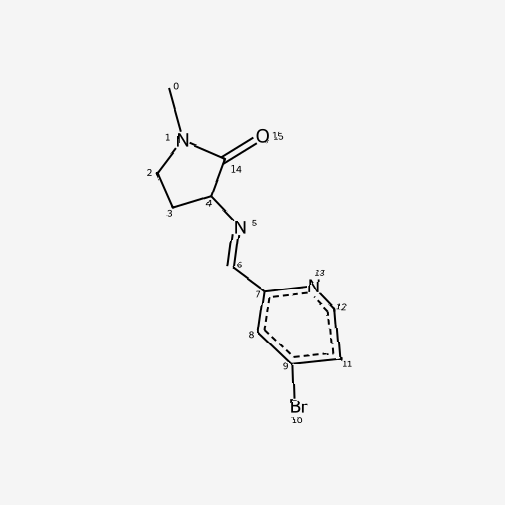 CN1CCC(N=Cc2cc(Br)ccn2)C1=O